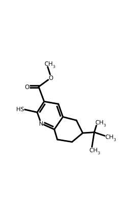 COC(=O)c1cc2c(nc1S)CCC(C(C)(C)C)C2